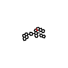 c1ccc2cc(N(c3c4ccccc4cc4ccccc34)c3c4ccccc4c(-c4ccc(-c5ccc6ccc7cccc8ccc5c6c78)cc4)c4ccccc34)ccc2c1